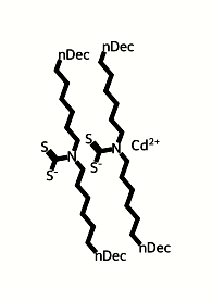 CCCCCCCCCCCCCCCCN(CCCCCCCCCCCCCCCC)C(=S)[S-].CCCCCCCCCCCCCCCCN(CCCCCCCCCCCCCCCC)C(=S)[S-].[Cd+2]